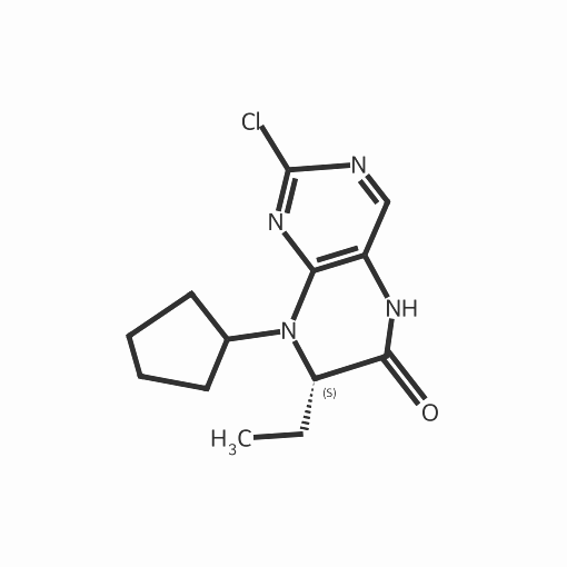 CC[C@H]1C(=O)Nc2cnc(Cl)nc2N1C1CCCC1